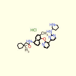 Cc1ccc2c(NC(=O)CC3(C)CCCCC3)cccc2c1Oc1ncccc1-c1ccnc(NC2CCCNC2)n1.Cl